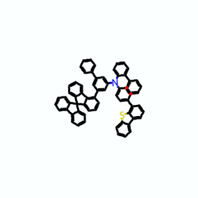 c1ccc(-c2cc(-c3cccc4c3-c3ccccc3C43c4ccccc4-c4ccccc43)cc(N(c3ccc(-c4cccc5c4sc4ccccc45)cc3)c3ccccc3-c3ccccc3)c2)cc1